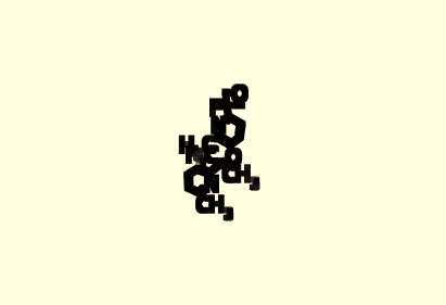 Cc1cccc(C(C)(Oc2ccc(C3(F)COC3)nc2C)C(F)(F)F)n1